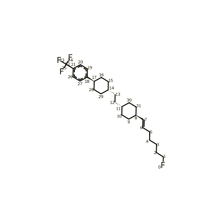 FCCCCCC=C[C@H]1CC[C@H](CC[C@H]2CC[C@H](c3ccc(C(F)(F)F)cc3)CC2)CC1